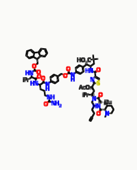 C#CCCCCN(C(=O)[C@@H](NC(=O)C1CCCCN1C)[C@@H](C)CC)[C@H](C[C@@H](OC(C)=O)c1nc(C(=O)NC(Cc2ccc(NC(=O)OCc3ccc(NC(=O)C(CCCNC(N)=O)NC(=O)C(NC(=O)OCC4c5ccccc5-c5ccccc54)C(C)C)cc3)cc2)CC(C)(C)C(=O)O)cs1)C(C)C